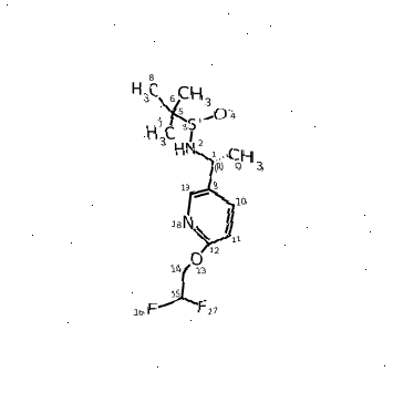 C[C@@H](N[S+]([O-])C(C)(C)C)c1ccc(OCC(F)F)nc1